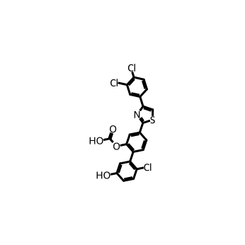 O=C(O)Oc1cc(-c2nc(-c3ccc(Cl)c(Cl)c3)cs2)ccc1-c1cc(O)ccc1Cl